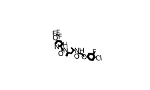 C=C(CC(C)NC(=O)COc1ccc(Cl)c(F)c1)NC(=O)c1ccc(OC(F)(F)F)cn1